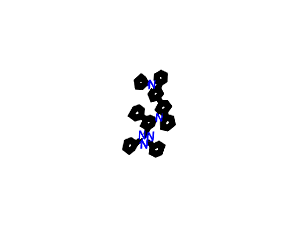 c1ccc(-c2cc(-c3nc(-c4ccccc4)nc(-c4ccccc4)n3)cc(-n3c4ccccc4c4ccc(-c5ccc6c(c5)c5ccccc5n6-c5ccccc5)cc43)c2)cc1